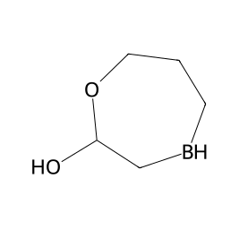 OC1CBCCCO1